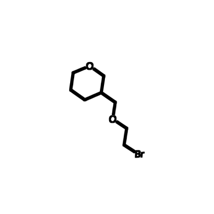 BrCCOCC1CCCOC1